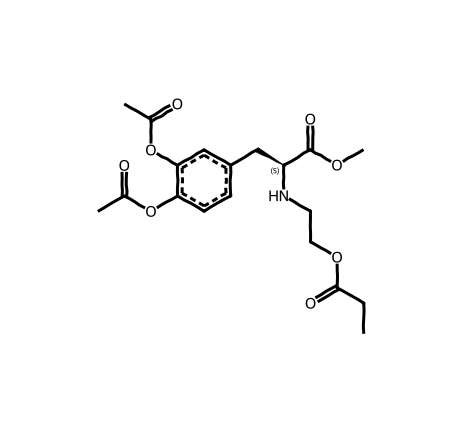 CCC(=O)OCCN[C@@H](Cc1ccc(OC(C)=O)c(OC(C)=O)c1)C(=O)OC